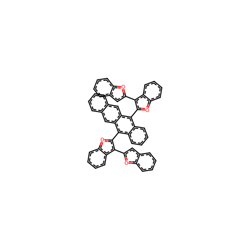 c1ccc2cc3c(-c4oc5ccccc5c4-c4cc5ccccc5o4)c4ccccc4c(-c4oc5ccccc5c4-c4cc5ccccc5o4)c3cc2c1